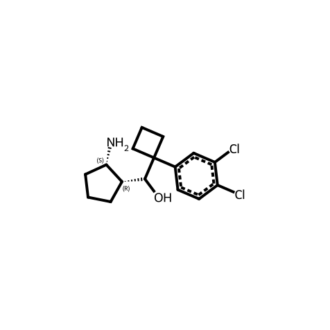 N[C@H]1CCC[C@H]1C(O)C1(c2ccc(Cl)c(Cl)c2)CCC1